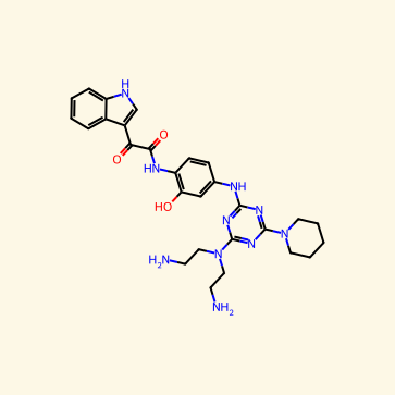 NCCN(CCN)c1nc(Nc2ccc(NC(=O)C(=O)c3c[nH]c4ccccc34)c(O)c2)nc(N2CCCCC2)n1